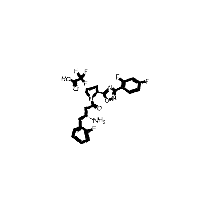 N[C@@H](CC(=O)N1CCC[C@H]1c1nc(-c2ccc(F)cc2F)no1)Cc1ccccc1F.O=C(O)C(F)(F)F